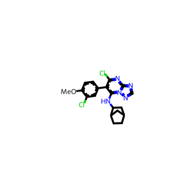 COc1ccc(-c2c(Cl)nc3ncnn3c2NC2CC3CCC2C3)cc1Cl